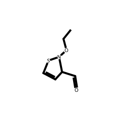 CCON1SC=CC1C=O